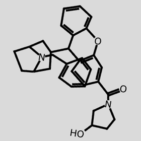 O=C(c1ccc2c(c1)Oc1ccccc1C2C1CC2CCC(C1)N2Cc1ccccc1)N1CCC(O)C1